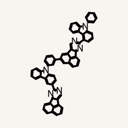 c1ccc(-n2c3ccccc3c3c(-c4ncc5c(n4)-c4cccc6cc(-c7cccc(-n8c9ccccc9c9cc(-c%10ncc%11c(n%10)-c%10cccc%12cccc-%11c%10%12)ccc98)c7)cc-5c46)cccc32)cc1